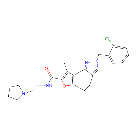 Cc1c(C(=O)NCCN2CCCC2)oc2c1-c1nn(Cc3ccccc3Cl)cc1CC2